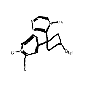 CC1CC(c2cc[n+]([O-])c(Cl)c2)(c2nncn2C)C1